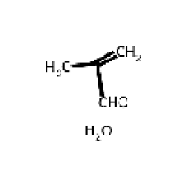 C=C(C)C=O.O